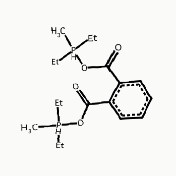 CC[PH](C)(CC)OC(=O)c1ccccc1C(=O)O[PH](C)(CC)CC